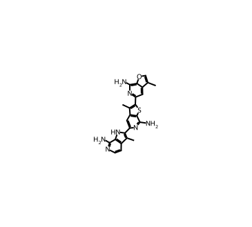 Cc1c(-c2cc3c(C)c(-c4cc5c(C)coc5c(N)n4)sc3c(N)n2)[nH]c2c(N)nccc12